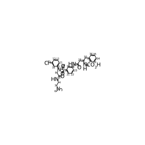 CN(C)CCNC(=O)CN(c1cccc(Cl)c1)S(=O)(=O)c1cccc(NC(=O)CC(Cc2ccccc2)NC(=O)O)c1